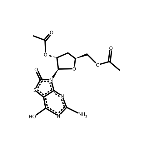 CC(=O)OC[C@@H]1C[C@@H](OC(C)=O)[C@H](n2c(=O)sc3c(O)nc(N)nc32)O1